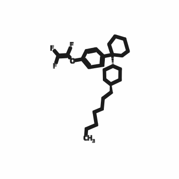 CCCCCCC[C@H]1CC[C@H](C2(c3ccc(OC(F)=C(F)F)cc3)CCCCC2)CC1